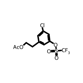 CC(=O)OCCc1cc(Cl)cc(OS(=O)(=O)C(F)(F)F)c1